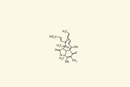 C/C=C/C=C/C(O)=C1/C(=O)C(C)=C(O)[C@@]2(C)OC(=O)[C@@](C)(NC(=O)/C=C/C(=O)O)[C@@H]12